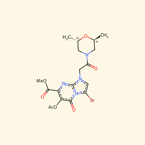 COC(=O)c1nc2n(CC(=O)N3C[C@H](C)O[C@@H](C)C3)cc(Br)n2c(=O)c1OC(C)=O